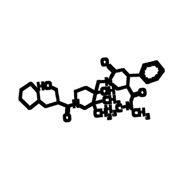 CN(C)C(=O)C1CN(CC2(O)CCN(C(=O)C(CO)CC3CCCCC3)CC2(C)C)C(=O)CC1c1ccccc1